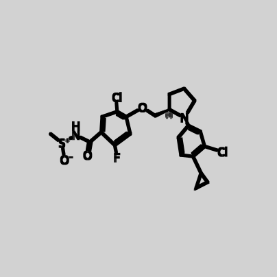 C[S+]([O-])NC(=O)c1cc(Cl)c(OC[C@H]2CCCN2c2ccc(C3CC3)c(Cl)c2)cc1F